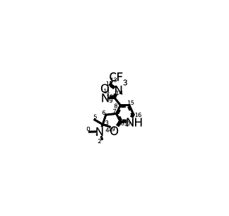 CN(C)C(C)(C)Cc1c(-c2noc(C(F)(F)F)n2)cc[nH]c1=O